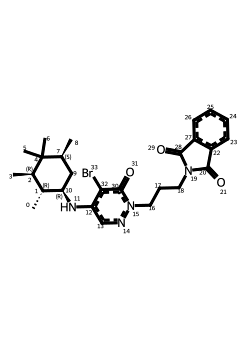 C[C@@H]1[C@@H](C)C(C)(C)[C@@H](C)C[C@H]1Nc1cnn(CCCN2C(=O)c3ccccc3C2=O)c(=O)c1Br